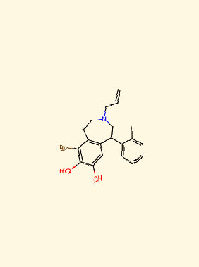 C=CCN1CCc2c(cc(O)c(O)c2Br)C(c2ccccc2C)C1